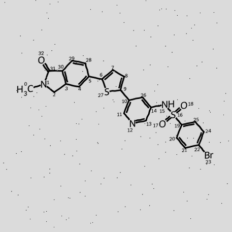 CN1Cc2cc(-c3ccc(-c4cncc(NS(=O)(=O)c5ccc(Br)cc5)c4)s3)ccc2C1=O